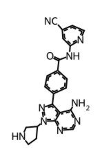 N#Cc1ccnc(NC(=O)c2ccc(-c3nn(C4CCNC4)c4ncnc(N)c34)cc2)c1